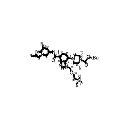 Cc1cn2cc(NC(=O)c3ccc(N4C[C@@H](C)N(C(=O)OC(C)(C)C)[C@@H](C)C4)c4c3nnn4COCC[Si](C)(C)C)cc(F)c2n1